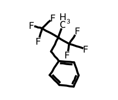 CC(Cc1ccccc1)(C(F)(F)F)C(F)(F)F